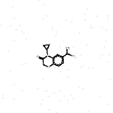 CC(C)c1ccc2c(c1)N(C1CC1)C(=O)CO2